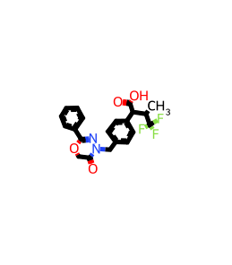 CC(C(C(=O)O)c1ccc(CN2N=C(c3ccccc3)OCC2=O)cc1)C(F)(F)F